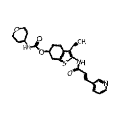 C#Cc1c(NC(=O)/C=C/c2cccnc2)sc2c1CCC(OC(=O)NC1CCOCC1)C2